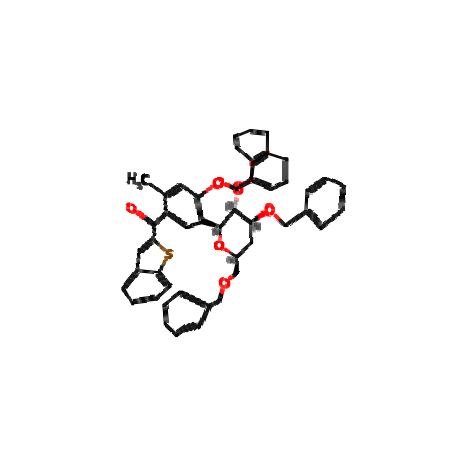 Cc1cc(OCc2ccccc2)c([C@@H]2O[C@H](COCc3ccccc3)C[C@H](OCc3ccccc3)[C@H]2OCc2ccccc2)cc1C(=O)c1cc2ccccc2s1